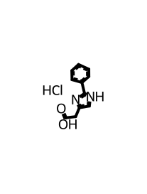 Cl.O=C(O)Cc1c[nH]c(-c2ccccc2)n1